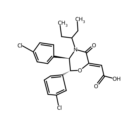 CCC(CC)N1C(=O)/C(=C/C(=O)O)O[C@H](c2cccc(Cl)c2)[C@H]1c1ccc(Cl)cc1